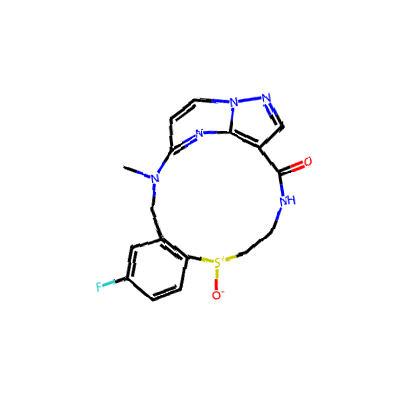 CN1Cc2cc(F)ccc2[S+]([O-])CCNC(=O)c2cnn3ccc1nc23